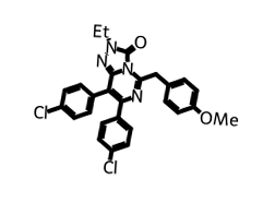 CCn1nc2c(-c3ccc(Cl)cc3)c(-c3ccc(Cl)cc3)nc(Cc3ccc(OC)cc3)n2c1=O